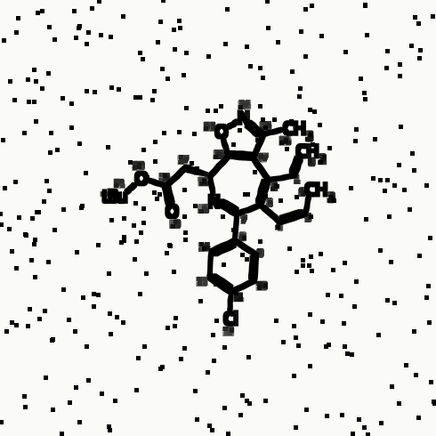 C=CC1=C(/C=C\C)C(c2ccc(Cl)cc2)=N[C@@H](CC(=O)OC(C)(C)C)c2onc(C)c21